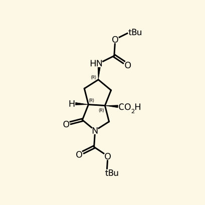 CC(C)(C)OC(=O)N[C@@H]1C[C@H]2C(=O)N(C(=O)OC(C)(C)C)C[C@@]2(C(=O)O)C1